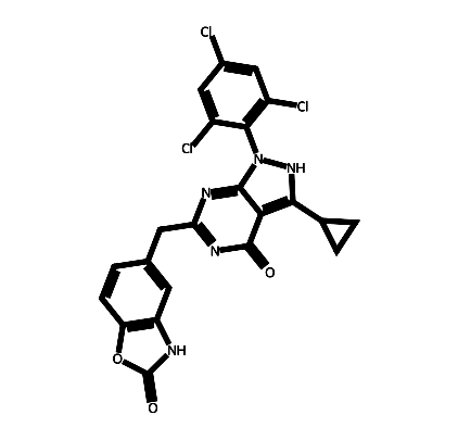 O=c1[nH]c2cc(Cc3nc4n(-c5c(Cl)cc(Cl)cc5Cl)[nH]c(C5CC5)c-4c(=O)n3)ccc2o1